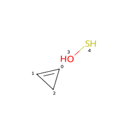 C1=CC1.OS